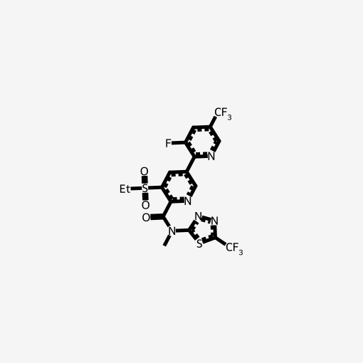 CCS(=O)(=O)c1cc(-c2ncc(C(F)(F)F)cc2F)cnc1C(=O)N(C)c1nnc(C(F)(F)F)s1